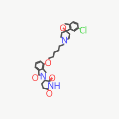 O=C1CCC(N2Cc3c(OCCCCCCN4CCC5(CC4)OCc4ccc(Cl)cc45)cccc3C2=O)C(=O)N1